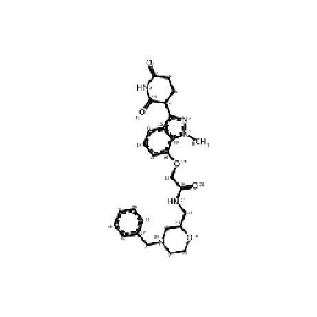 Cn1nc(C2CCC(=O)NC2=O)c2cccc(OCC(=O)NCC3CN(Cc4ccccc4)CCO3)c21